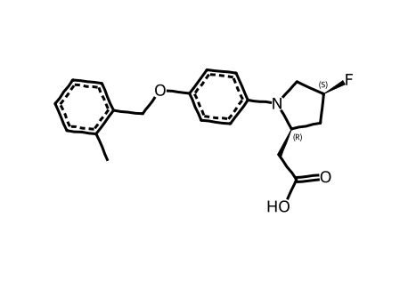 Cc1ccccc1COc1ccc(N2C[C@@H](F)C[C@H]2CC(=O)O)cc1